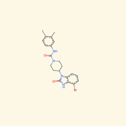 Cc1cc(NC(=O)N2CCC(n3c(=O)[nH]c4c(Br)cccc43)CC2)ccc1I